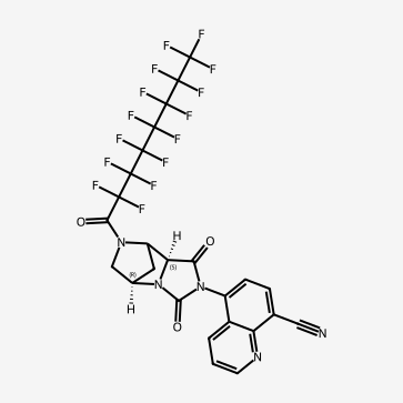 N#Cc1ccc(N2C(=O)[C@@H]3C4C[C@H](CN4C(=O)C(F)(F)C(F)(F)C(F)(F)C(F)(F)C(F)(F)C(F)(F)C(F)(F)F)N3C2=O)c2cccnc12